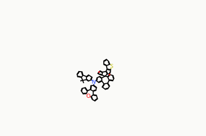 CC1(C)c2ccccc2-c2ccc(N(c3ccc4c(c3)-c3ccccc3Oc3ccccc3-4)c3ccc4c(c3)-c3ccccc3-c3ccccc3C43c4ccccc4-c4c3ccc3sc5ccccc5c43)cc21